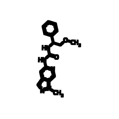 COCC(NC(=O)Nc1cc2cnn(C)c2cn1)c1ccccc1